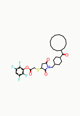 O=C(CSC1CC(=O)N(CC2CCC(C(=O)C3CCCCCCCCCCC3)CC2)C1=O)Oc1c(F)c(F)cc(F)c1F